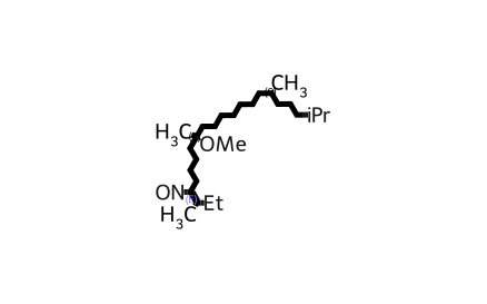 CC/C(C)=C(\CCCC[C@@](C)(CCCCCCC[C@H](C)CCCC(C)C)OC)N=O